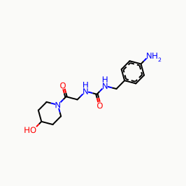 Nc1ccc(CNC(=O)NCC(=O)N2CCC(O)CC2)cc1